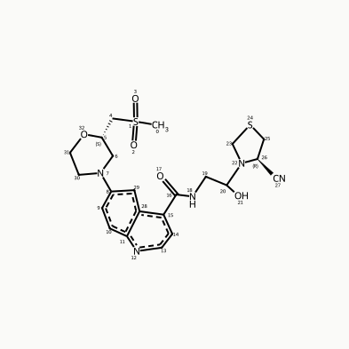 CS(=O)(=O)C[C@@H]1CN(c2ccc3nccc(C(=O)NCC(O)N4CSC[C@H]4C#N)c3c2)CCO1